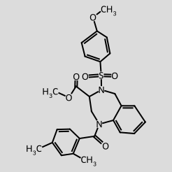 COC(=O)C1CN(C(=O)c2ccc(C)cc2C)c2ccccc2CN1S(=O)(=O)c1ccc(OC)cc1